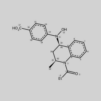 CCC(=O)N1c2ccccc2[C@H](N(O)c2ccc(C(=O)O)cc2)C[C@@H]1C